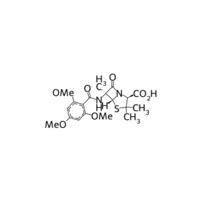 COc1cc(OC)c(C(=O)N[C@@]2(C)C(=O)N3[C@@H](C(=O)O)C(C)(C)S[C@@H]32)c(OC)c1